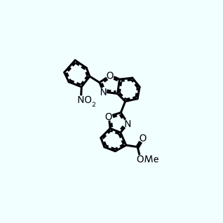 COC(=O)c1cccc2oc(-c3cccc4oc(-c5ccccc5[N+](=O)[O-])nc34)nc12